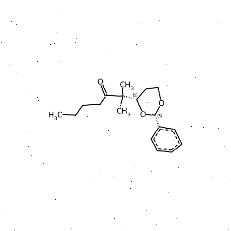 CCCCC(=O)C(C)(C)[C@@H]1CCO[C@H](c2ccccc2)O1